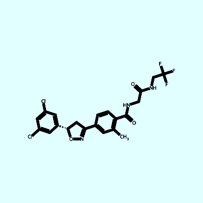 Cc1cc(C2=NO[C@H](c3cc(Cl)cc(Cl)c3)C2)ccc1C(=O)NCC(=O)NCC(F)(F)F